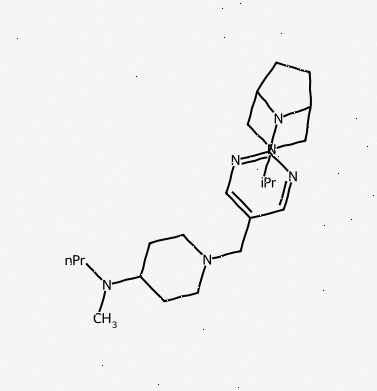 CCCN(C)C1CCN(Cc2cnc(N3C4CCC3CN(C(C)C)C4)nc2)CC1